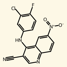 N#Cc1cnc2ccc([N+](=O)[O-])cc2c1Nc1ccc(F)c(Cl)c1